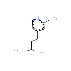 COC(C=O)CCc1ccnc(C#N)c1